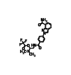 CN(C)C(CNC(=O)c1ccc(-n2cc3cccc(C(N)=O)c3n2)cc1)OC(=O)C(F)(F)F